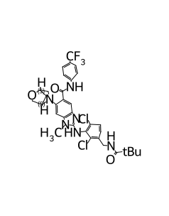 Cn1c(Nc2c(Cl)ccc(CNC(=O)C(C)(C)C)c2Cl)nc2cc(C(=O)Nc3ccc(C(F)(F)F)cc3)c(N3C[C@@H]4C[C@H]3CO4)cc21